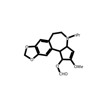 CCCN1CCc2cc3c(cc2C2C(OC=O)C(OC)=CC21)OCO3